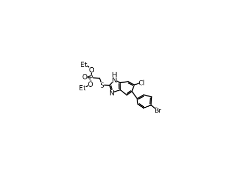 CCOP(=O)(CSc1nc2cc(-c3ccc(Br)cc3)c(Cl)cc2[nH]1)OCC